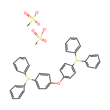 CS(=O)(=O)[O-].CS(=O)(=O)[O-].c1ccc([S+](c2ccccc2)c2ccc(Oc3ccc([S+](c4ccccc4)c4ccccc4)cc3)cc2)cc1